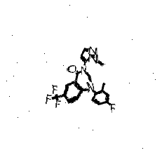 Cc1cc(F)ccc1N1CN(c2ccnn2C)C(=O)c2cc(C(F)(F)F)ccc21